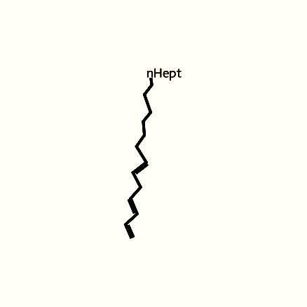 C=CC=CCC=CCCCCCCCCCCCCC